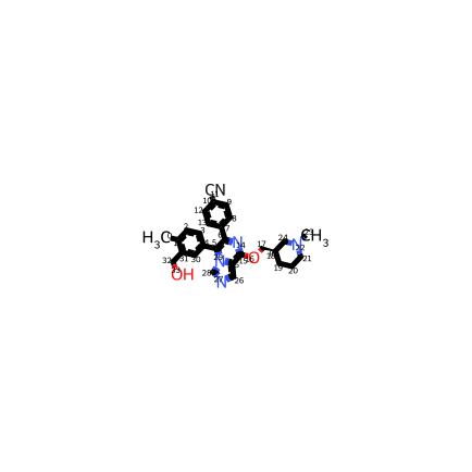 Cc1ccc(-c2c(-c3ccc(C#N)cc3)nc(OC[C@@H]3CCCN(C)C3)c3cncn23)cc1CO